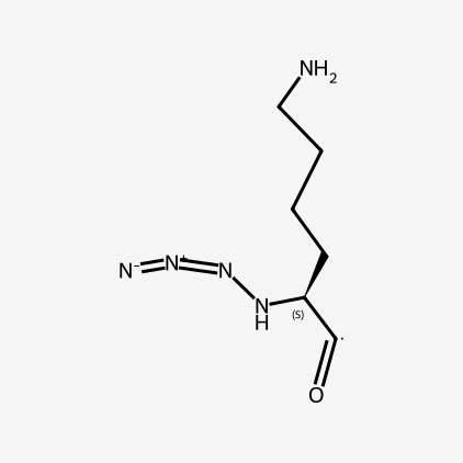 [N-]=[N+]=NN[C@H]([C]=O)CCCCN